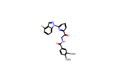 COc1ccc(C(=O)NCC(=O)c2cccc(-n3ncc4c(F)cccc43)n2)cc1OC